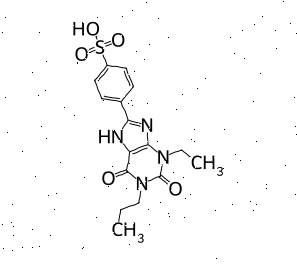 CCCn1c(=O)c2[nH]c(-c3ccc(S(=O)(=O)O)cc3)nc2n(CC)c1=O